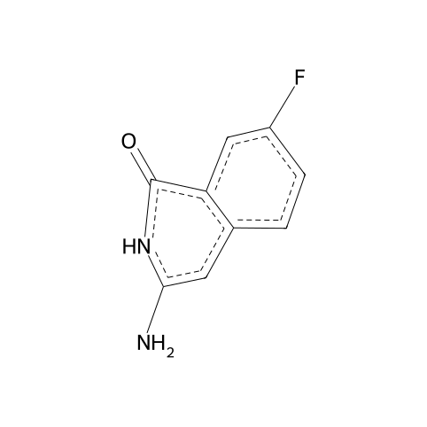 Nc1cc2ccc(F)cc2c(=O)[nH]1